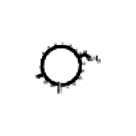 CC1CCCCCCCCC(CN)CCCCCNCC1